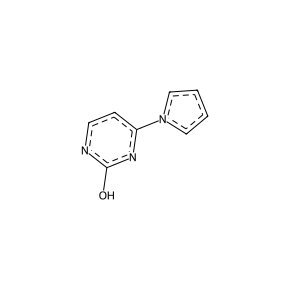 Oc1nccc(-n2cccc2)n1